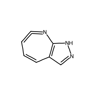 C1=CC=Cc2cn[nH]c2N=1